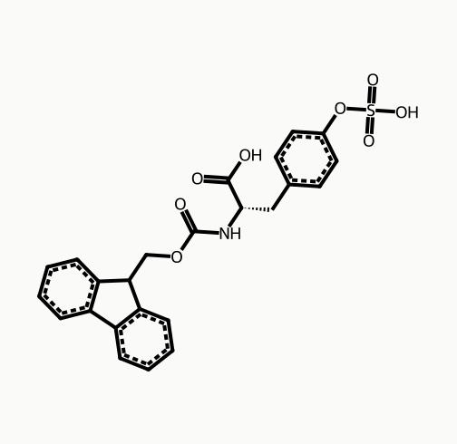 O=C(N[C@@H](Cc1ccc(OS(=O)(=O)O)cc1)C(=O)O)OCC1c2ccccc2-c2ccccc21